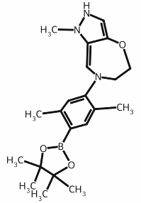 Cc1cc(N2C=C3C(=CNN3C)OCC2)c(C)cc1B1OC(C)(C)C(C)(C)O1